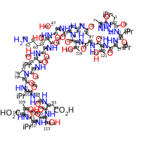 CC(C)C[C@H](NC(=O)[C@H](C)N)C(=O)N[C@H](C(=O)N[C@@H](CC(C)C)C(=O)N[C@H](C(=O)N[C@@H](CCC(N)=O)C(=O)N[C@H](C(=O)N1CCC[C@H]1C(=O)N[C@@H](CO)C(=O)N[C@@H](CO)C(=O)N[C@@H](CCCCN)C(=O)N[C@@H](CO)C(=O)N[C@H](C(=O)N1CCC[C@H]1C(=O)N[C@H](C(=O)NCC(=O)N[C@@H](CC(=O)O)C(=O)N[C@H](C(=O)N[C@H](C(=O)N[C@H](C(=O)O)[C@@H](C)O)C(C)C)[C@@H](C)O)C(C)C)C(C)C)[C@@H](C)O)[C@@H](C)O)C(C)C